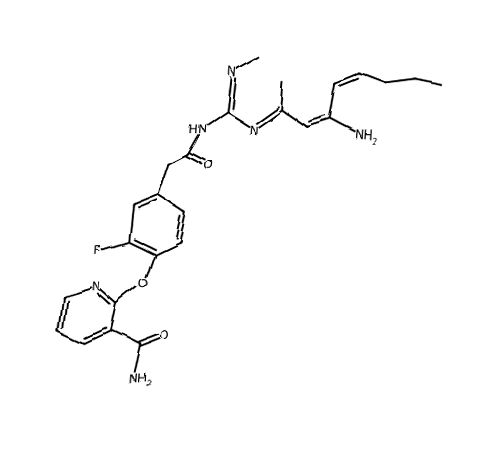 CCC\C=C/C(N)=C\C(C)=N\C(=N/C)NC(=O)Cc1ccc(Oc2ncccc2C(N)=O)c(F)c1